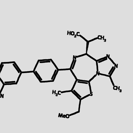 COCc1sc2c(c1C)C(c1ccc(-c3cccc(C#N)c3)cc1)=N[C@@H](C(C)C(=O)O)c1nnc(C)n1-2